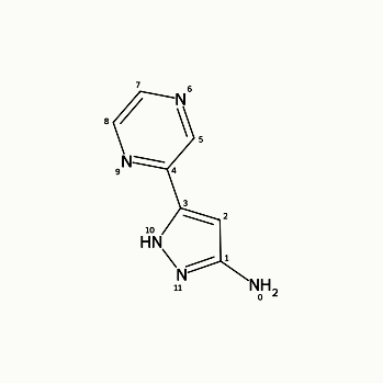 Nc1cc(-c2cnccn2)[nH]n1